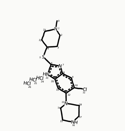 CN1CCC(Sc2nc3cc(Cl)c(N4CCNCC4)cc3[nH]2)CC1.Cl.Cl.Cl